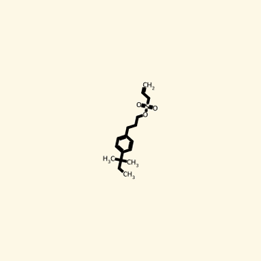 C=CCS(=O)(=O)OCCCc1ccc(C(C)(C)CC)cc1